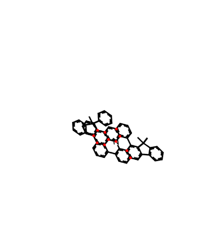 CC1(C)c2ccccc2-c2cccc(-c3ccccc3N(c3ccc4c(c3)C(C)(c3ccccc3)c3ccccc3-4)c3ccccc3-c3cccc(-c4ccccc4-c4ccccc4)c3)c21